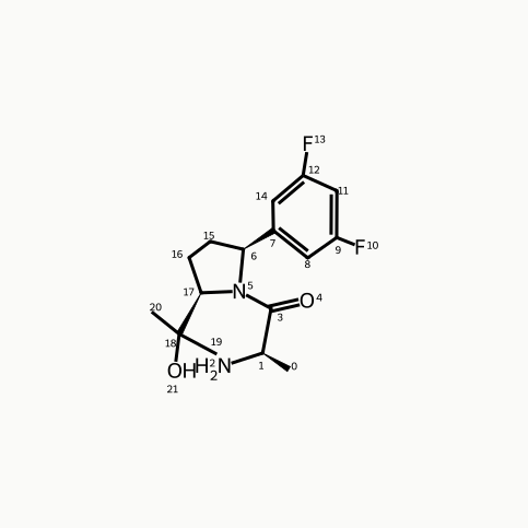 C[C@@H](N)C(=O)N1[C@H](c2cc(F)cc(F)c2)CC[C@@H]1C(C)(C)O